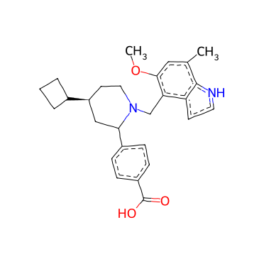 COc1cc(C)c2[nH]ccc2c1CN1CC[C@H](C2CCC2)CC1c1ccc(C(=O)O)cc1